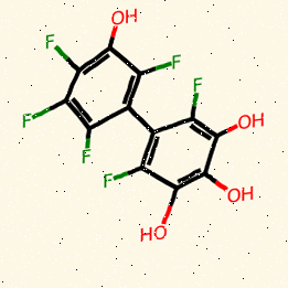 Oc1c(O)c(F)c(-c2c(F)c(O)c(F)c(F)c2F)c(F)c1O